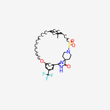 Cc1cc2ccc1CCS(=O)(=O)N1CCC3(CC1)N=C(NC3=O)c1cc(cc(C(F)(F)F)c1)OCCCCCCCC2